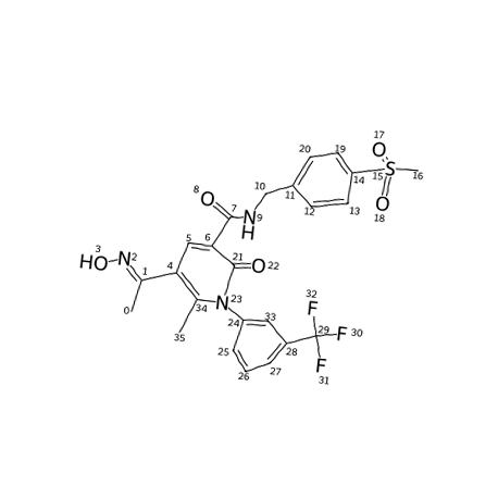 C/C(=N\O)c1cc(C(=O)NCc2ccc(S(C)(=O)=O)cc2)c(=O)n(-c2cccc(C(F)(F)F)c2)c1C